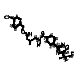 CC(CNOCc1ccc(Cl)cc1)CNC(=O)c1ccc(-c2noc(C(F)(F)F)n2)cc1